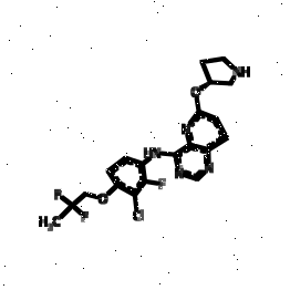 CC(F)(F)COc1ccc(Nc2ncnc3ccc(O[C@H]4CCNC4)nc23)c(F)c1Cl